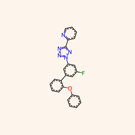 Fc1cc(-c2ccccc2Oc2ccccc2)cc(-n2nnc(-c3ccccn3)n2)c1